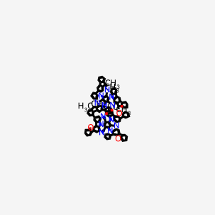 CC1(C)c2ccccc2-c2cc3c4ccccc4n(-c4c(C#N)c(-n5c6ccccc6c6cc7c(cc65)C(C)(C)c5ccccc5-7)c(C#N)c(-n5c6ccccc6c6cc7c(cc65)C(C)(C)c5cccc(-c6ccc8c(c6)c6c9oc%10ccccc%10c9ccc6n8-c6c(C#N)c(-n8c9ccccc9c9c%10oc%11ccccc%11c%10ccc98)c(C#N)c(-n8c9ccccc9c9c%10oc%11ccccc%11c%10ccc98)c6C#N)c5-7)c4C#N)c3cc21